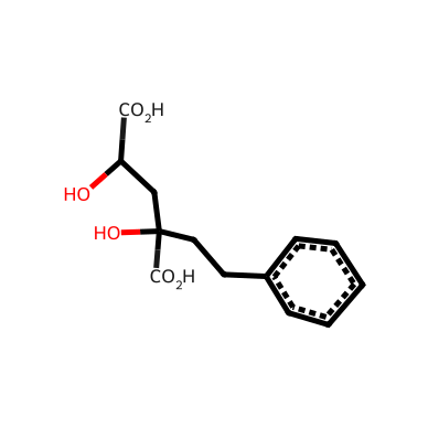 O=C(O)C(O)CC(O)(CCc1ccccc1)C(=O)O